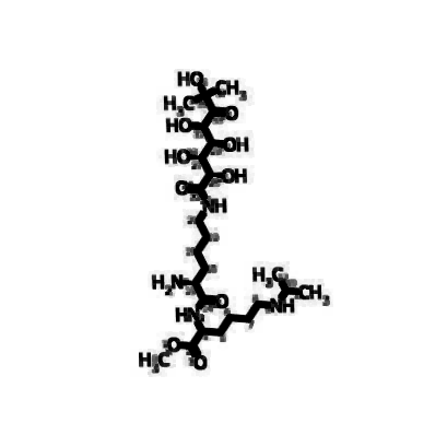 COC(=O)C(CCCCNC(C)C)NC(=O)[C@@H](N)CCCCNC(=O)[C@H](O)[C@@H](O)C(O)C(O)C(=O)C(C)(C)O